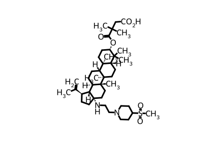 C=C(C)[C@@H]1CC[C@]2(NCCN3CCC(S(C)(=O)=O)CC3)CC[C@]3(C)[C@H](CC[C@@H]4[C@@]5(C)CC[C@H](OC(=O)C(C)(C)CC(=O)O)C(C)(C)[C@@H]5CC[C@]43C)[C@@H]12